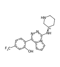 Oc1cc(C(F)(F)F)ccc1-c1nnc(N[C@@H]2CCCNC2)n2cccc12